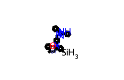 C=C1/C=C\c2c(n(-c3ccc(CN4N=C(c5ccccc5)NC4c4ccccc4)cc3)c3ccc([SiH3])cc23)Oc2ccccc21